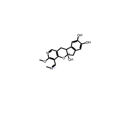 C/N=C\c1c(OC)ncc2c1O[C@@]1(O)Cc3cc(O)c(O)cc3C1C2